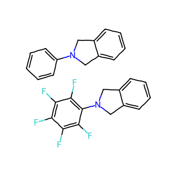 Fc1c(F)c(F)c(N2Cc3ccccc3C2)c(F)c1F.c1ccc(N2Cc3ccccc3C2)cc1